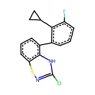 Fc1cccc(-c2cccc3c2NC(Cl)=NS3)c1C1CC1